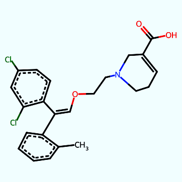 Cc1ccccc1C(=COCCN1CCC=C(C(=O)O)C1)c1ccc(Cl)cc1Cl